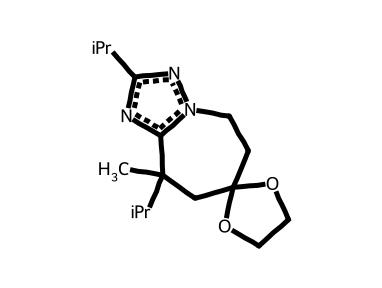 CC(C)c1nc2n(n1)CCC1(CC2(C)C(C)C)OCCO1